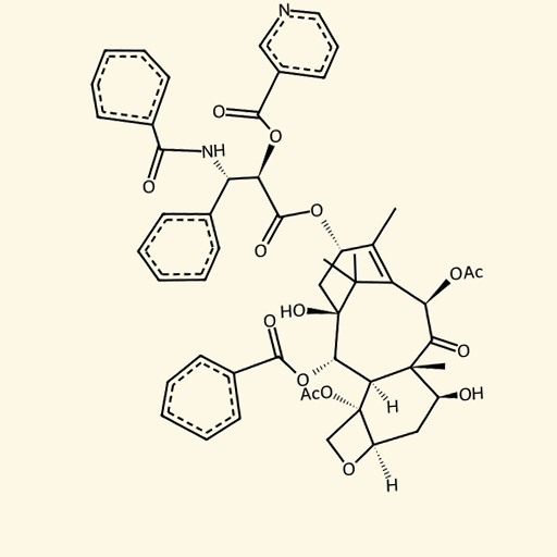 CC(=O)O[C@H]1C(=O)[C@@]2(C)[C@H]([C@H](OC(=O)c3ccccc3)[C@]3(O)C[C@H](OC(=O)[C@H](OC(=O)c4cccnc4)[C@@H](NC(=O)c4ccccc4)c4ccccc4)C(C)=C1C3(C)C)[C@]1(OC(C)=O)CO[C@@H]1C[C@@H]2O